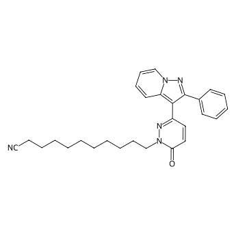 N#CCCCCCCCCCCn1nc(-c2c(-c3ccccc3)nn3ccccc23)ccc1=O